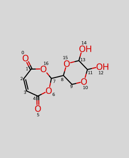 O=C1C=CC(=O)OC(C2COC(O)C(O)O2)O1